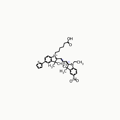 CCN1/C(=C/C=C/C2=[N+](CCCCCC(=O)O)c3ccc(-c4cccs4)cc3C2(C)C)C(C)(C)c2cc([N+](=O)[O-])ccc21